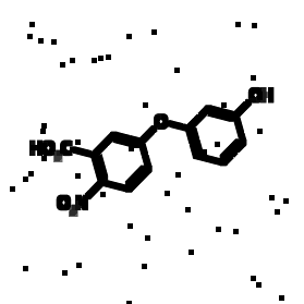 O=C(O)c1cc(Oc2cccc(O)c2)ccc1[N+](=O)[O-]